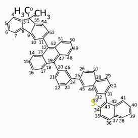 CC1(C)c2ccccc2-c2cc(-c3c4ccccc4c(-c4cccc(-c5ccc6ccc7c(sc8ccc9ccccc9c87)c6c5)c4)c4ccccc34)ccc21